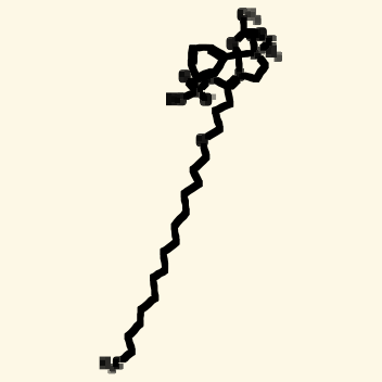 CCCCCCCCCCCCCCCCOCCCC(OP(=O)([O-])O)=S1CC[N+](C)(C)C1(OC(C)=O)c1ccccc1